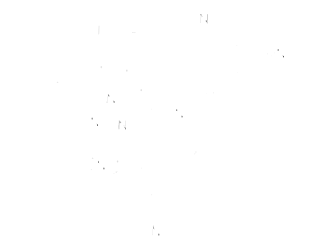 N#Cc1cc(C#N)cc(-c2ccc3c4ccc(-c5cc(C#N)cc(C#N)c5)cc4n(-c4ccc(-c5cccc(C(F)(F)F)c5)c(-c5nc(-c6ccccc6)nc(-c6ccccc6)n5)c4)c3c2)c1